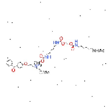 COCC[N+](C)(CCCOc1ccc(C(=O)c2ccccc2)cc1)CCOC(=O)NCCCCCCNC(=O)OCCOC(=O)NCCCCCCNC(C)=O